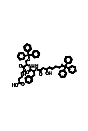 O=C(O)CCCNC(=O)C(CSC(c1ccccc1)(c1ccccc1)c1ccccc1)NC(=O)C(Cc1ccccc1)NC(=O)CC(O)C=CCCSC(c1ccccc1)(c1ccccc1)c1ccccc1